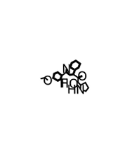 CCOc1ccc(-c2cc(C(=O)C(O)C3CCCN3)c3ccccc3n2)c(F)c1